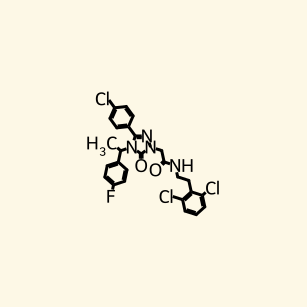 CC(c1ccc(F)cc1)n1c(-c2ccc(Cl)cc2)nn(CC(=O)NCCc2c(Cl)cccc2Cl)c1=O